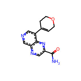 NC(=O)c1cnc2cncc(C3=CCOCC3)c2n1